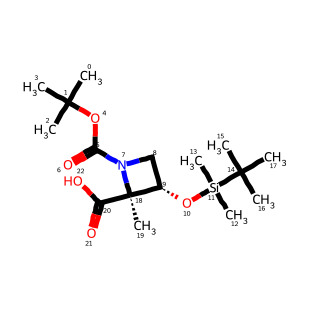 CC(C)(C)OC(=O)N1C[C@H](O[Si](C)(C)C(C)(C)C)[C@@]1(C)C(=O)O